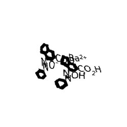 O=C(O)c1cc2ccccc2c(N=Nc2ccccc2)c1O.O=C([O-])c1cc2ccccc2c(N=Nc2ccccc2)c1[O-].[Ba+2]